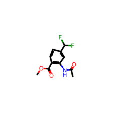 COC(=O)c1ccc(C(F)F)cc1NC(C)=O